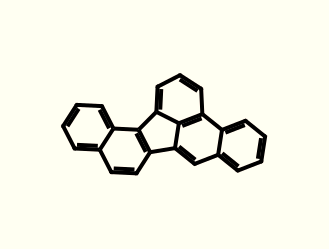 c1ccc2c3c(ccc2c1)-c1cc2ccccc2c2cccc-3c12